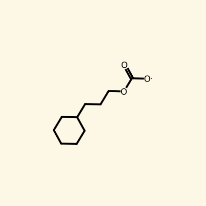 [O]C(=O)OCCCC1CCCCC1